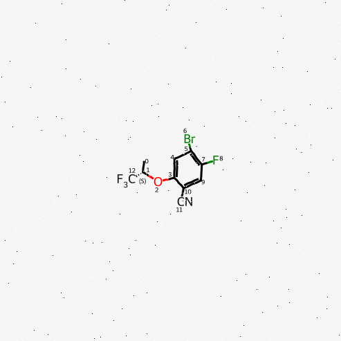 C[C@H](Oc1cc(Br)c(F)cc1C#N)C(F)(F)F